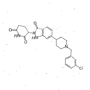 O=C1CCC(n2[nH]c3cc(C4CCN(Cc5cccc(Cl)c5)CC4)ccc3c2=O)C(=O)N1